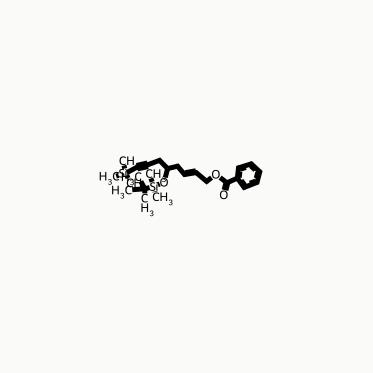 CC(C)(C)[Si](C)(C)OC(CC#C[Si](C)(C)C)C/C=C/COC(=O)c1ccccc1